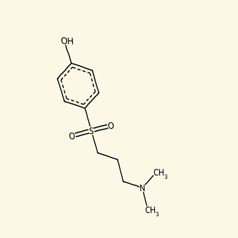 CN(C)CCCS(=O)(=O)c1ccc(O)cc1